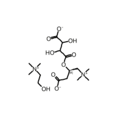 C[N+](C)(C)CCO.C[N+](C)(C)C[C@@H](CC(=O)[O-])OC(=O)C(O)C(O)C(=O)[O-]